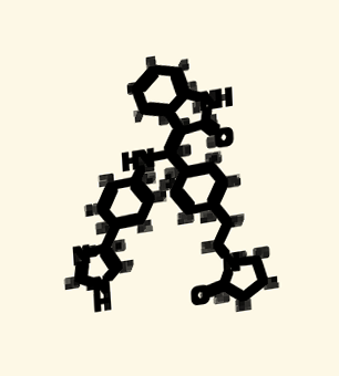 O=C1Nc2ccccc2C1=C(Nc1ccc(-c2c[nH]cn2)cc1)c1ccc(CCN2CCCC2=O)cc1